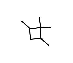 C[C]1CC(C)C1(C)C